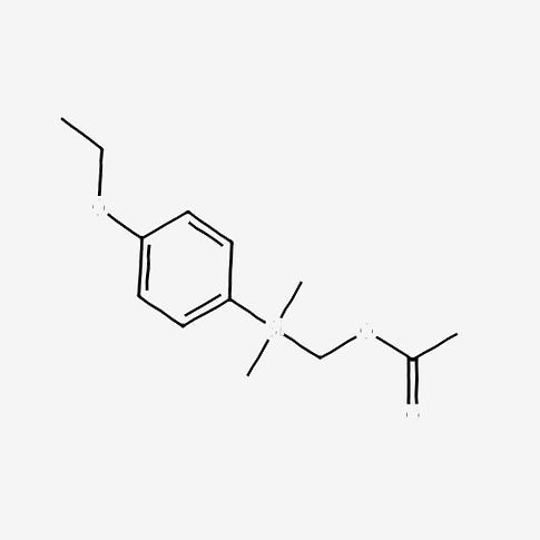 CCOc1ccc([Si](C)(C)COC(C)=O)cc1